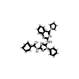 O=C(Nc1nc(Nc2nc(N3CCCC3)c3ccccc3n2)n(-c2ccccc2)n1)c1ccccc1